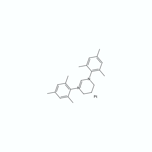 Cc1cc(C)c(N2C=[N+](c3c(C)cc(C)cc3C)CCC2)c(C)c1.[Pt]